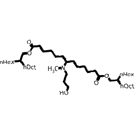 CCCCCCCCC(CCCCCC)COC(=O)CCCCCC(CCCCCC(=O)OCC(CCCCCC)CCCCCCCC)N(C)CCCO